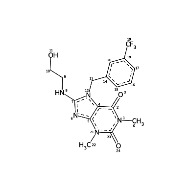 Cn1c(=O)c2c(nc(NCCO)n2Cc2cccc(C(F)(F)F)c2)n(C)c1=O